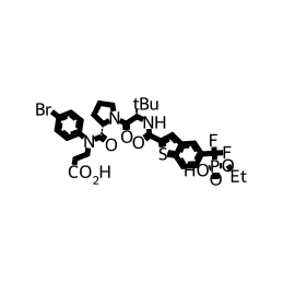 CCOP(=O)(O)C(F)(F)c1ccc2sc(C(=O)N[C@H](C(=O)N3CCC[C@H]3C(=O)N(CCC(=O)O)c3ccc(Br)cc3)C(C)(C)C)cc2c1